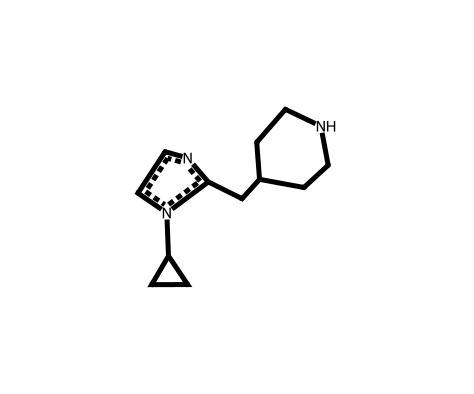 c1cn(C2CC2)c(CC2CCNCC2)n1